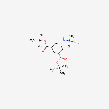 CC(C)(C)NC1CC(C(=O)OC(C)(C)C)CC(C(=O)OC(C)(C)C)C1